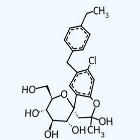 CCc1ccc(Cc2cc3c(cc2Cl)OC(C)(O)C[C@]32O[C@H](CO)[C@@H](O)[C@H](O)[C@H]2O)cc1